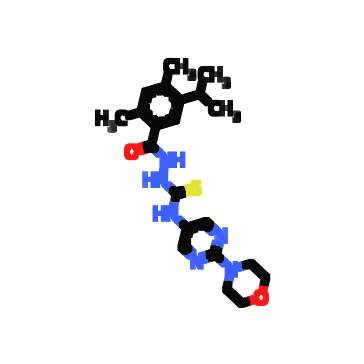 Cc1cc(C)c(C(C)C)cc1C(=O)NNC(=S)Nc1cnc(N2CCOCC2)nc1